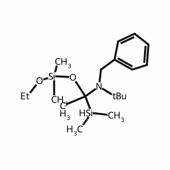 CCO[Si](C)(C)OC(C)(N(Cc1ccccc1)C(C)(C)C)[SiH](C)C